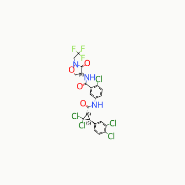 O=C(N[C@@H]1CON(CC(F)(F)F)C1=O)c1cc(NC(=O)[C@@H]2[C@@H](c3ccc(Cl)c(Cl)c3)C2(Cl)Cl)ccc1Cl